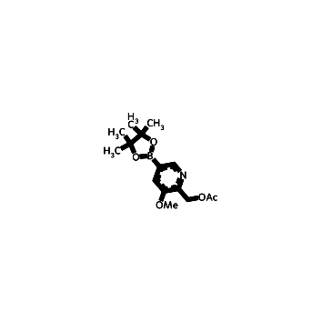 COc1cc(B2OC(C)(C)C(C)(C)O2)cnc1COC(C)=O